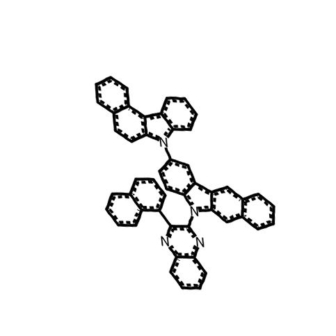 c1ccc2cc3c(cc2c1)c1cc(-n2c4ccccc4c4c5ccccc5ccc42)ccc1n3-c1nc2ccccc2nc1-c1cccc2ccccc12